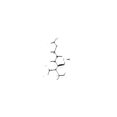 CCN/C=C(\C(C)C(C)C(CC)CC(F)C(C)C)C(C(F)C(C)C)C(C)[C@H](F)CC